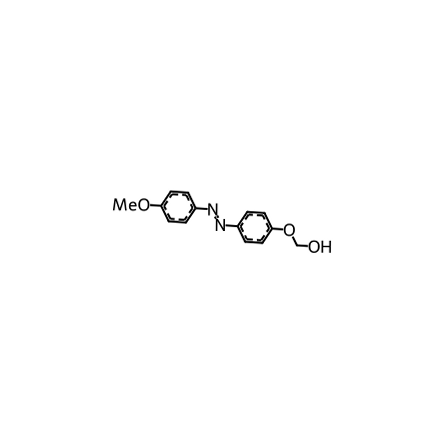 COc1ccc(N=Nc2ccc(OCO)cc2)cc1